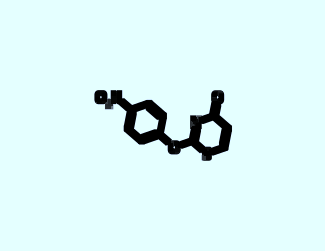 O=c1ccsc(Oc2ccc([N+](=O)[O-])cc2)n1